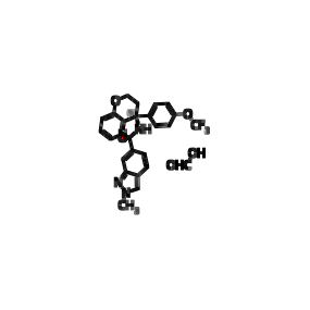 Cn1cc2ccc(C(=O)N[C@]3(c4ccc(OC(F)(F)F)cc4)CCOc4cccnc43)cc2n1.O=CO